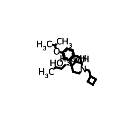 CCCC[C@]12CCN(CC3CCC3)[C@H](Cc3ccc(OC(C)C)c(O)c31)[C@@]2(C)O